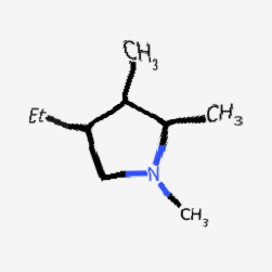 CCC1CN(C)C(C)C1C